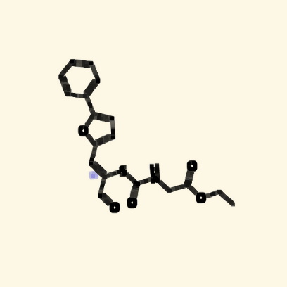 CCOC(=O)CNC(=O)S/C(C=O)=C\c1ccc(-c2ccccc2)o1